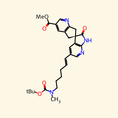 COC(=O)c1cnc2c(c1)C[C@@]1(C2)C(=O)Nc2ncc(/C=C/CCCCN(C)C(=O)OC(C)(C)C)cc21